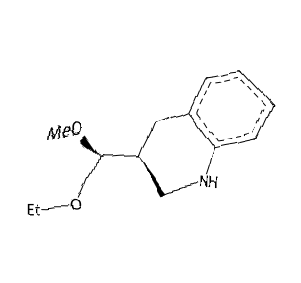 CCO[C@@H](OC)[C@@H]1CNc2ccccc2C1